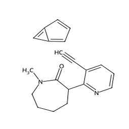 C#Cc1cccnc1C1CCCCN(C)C1=O.c1cc2cc-2c1